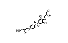 NC[C@@H](O)COc1ccc(S(=O)(=O)c2cc(Cl)c(OC[C@@H](O)CCl)c(Cl)c2)cc1